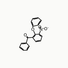 O=C(c1ccccc1)c1cccc([N+](=O)[O-])c1Oc1ccccc1